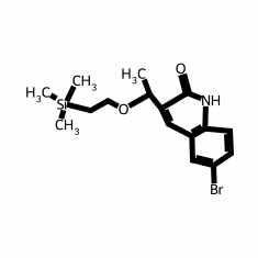 CC(OCC[Si](C)(C)C)c1cc2cc(Br)ccc2[nH]c1=O